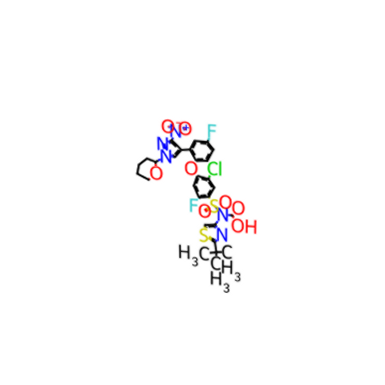 CC(C)(C)c1nc(N(C(=O)O)S(=O)(=O)c2cc(Cl)c(Oc3ccc(F)cc3-c3cn(C4CCCCO4)nc3[N+](=O)[O-])cc2F)cs1